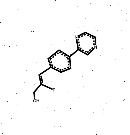 OC/C(F)=C/c1ccc(-c2cnccn2)cc1